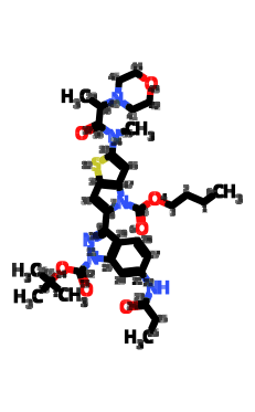 CCCCOC(=O)n1c(-c2nn(C(=O)OC(C)(C)C)c3cc(NC(=O)CC)ccc23)cc2sc(N(C)C(=O)C(C)N3CCOCC3)cc21